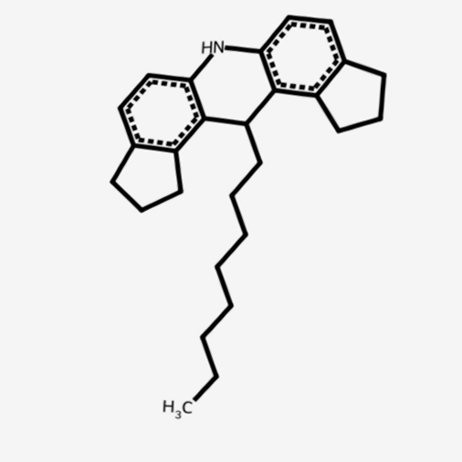 CCCCCCCCC1c2c(ccc3c2CCC3)Nc2ccc3c(c21)CCC3